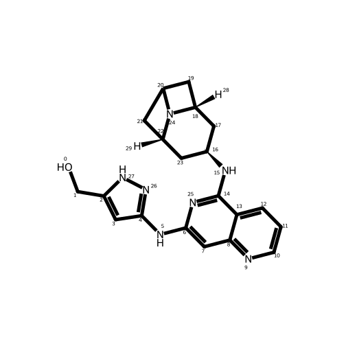 OCc1cc(Nc2cc3ncccc3c(N[C@@H]3C[C@H]4CC5C[C@@H](C3)N54)n2)n[nH]1